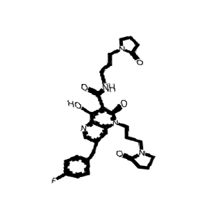 O=C(NCCCN1CCCC1=O)c1c(O)c2ncc(Cc3ccc(F)cc3)cc2n(CCCN2CCCC2=O)c1=O